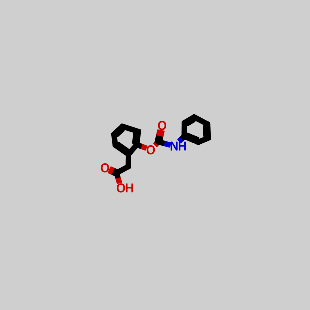 O=C(O)Cc1ccccc1OC(=O)Nc1ccccc1